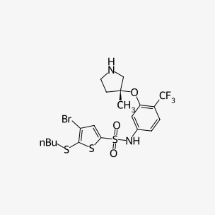 CCCCSc1sc(S(=O)(=O)Nc2ccc(C(F)(F)F)c(O[C@]3(C)CCNC3)c2)cc1Br